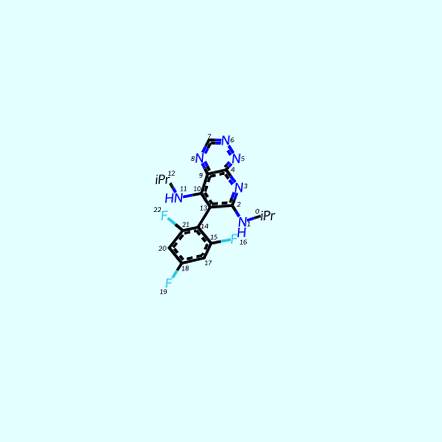 CC(C)Nc1nc2nncnc2c(NC(C)C)c1-c1c(F)cc(F)cc1F